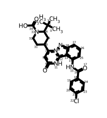 CC(C)(C)C1CC(c2cc(=O)[nH]c3c4c(NC(=O)c5ccc(Cl)cc5)cccc4nn23)CCN1C(=O)O